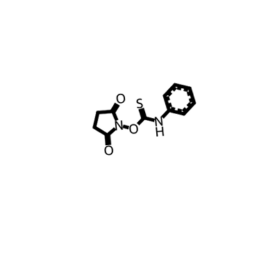 O=C1CCC(=O)N1OC(=S)Nc1ccccc1